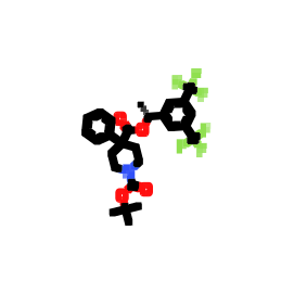 C[C@@H](OC(=O)C1(c2ccccc2)CCN(C(=O)OC(C)(C)C)CC1)c1cc(C(F)(F)F)cc(C(F)(F)F)c1